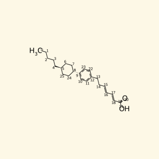 CCCCC[C@H]1CC[C@H](c2ccc(CC/C=C/C=C/C(=O)O)cc2)CC1